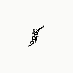 CCCCCCOc1ccc(-c2ccc(C3CCC(CCC)CC3)c(F)c2F)c(F)c1F